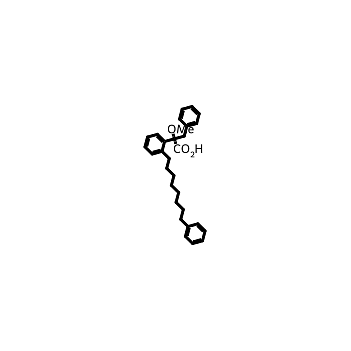 COC(Cc1ccccc1)(C(=O)O)c1ccccc1CCCCCCCCc1ccccc1